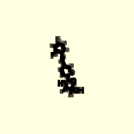 C[C@@H](NC(=O)c1ccc(C#Cc2ccc(F)cc2F)cn1)C(C)(C)O